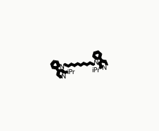 CC(C)c1nccc2c3ccccc3n(CCCCCCCCCCn3c4ccccc4c4ccnc(C(C)C)c43)c12